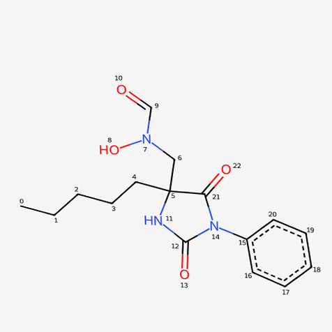 CCCCCC1(CN(O)C=O)NC(=O)N(c2ccccc2)C1=O